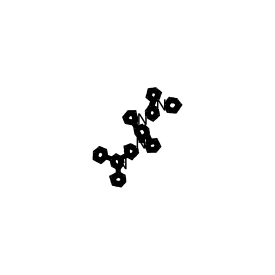 c1ccc(-c2cc(-c3ccccc3)nc(-c3ccc(-n4c5ccccc5c5cc6c(cc54)c4ccccc4n6-c4ccc5c(c4)c4ccccc4n5-c4ccccc4)cc3)c2)cc1